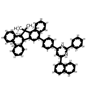 CC1(C)c2c(cc(-c3ccc(-c4cc(-c5cccc6ccccc56)nc(-c5ccccc5)n4)cc3)c3ccccc23)-c2c1c1ccccc1c1ccccc21